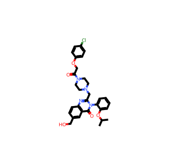 CC(C)Oc1ccccc1-n1c(CN2CCN(C(=O)COc3ccc(Cl)cc3)CC2)nc2ccc(CO)cc2c1=O